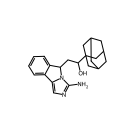 Nc1ncc2n1C(CC(O)C13CC4CC(CC(C4)C1)C3)c1ccccc1-2